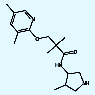 Cc1cnc(OCC(C)(C)C(=O)NC2CNCC2C)c(C)c1